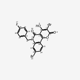 O=c1oc2c(c(O)c1Br)c(=O)n(Cc1ccc(F)cc1)c1cc(Br)ccc21